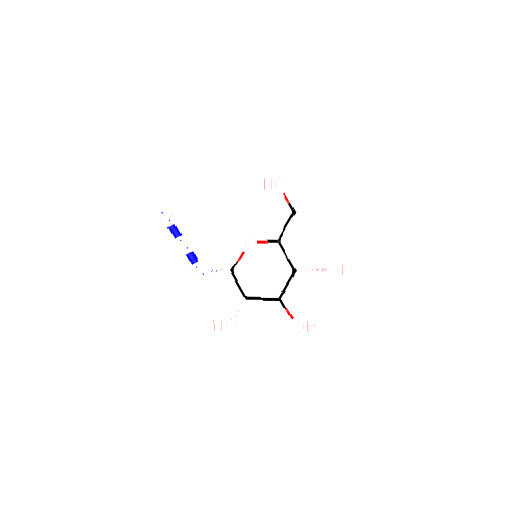 [N-]=[N+]=N[C@@H]1OC(CO)[C@H](O)C(O)[C@@H]1O